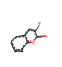 [2H]c1cc2ccccc2oc1=O